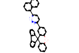 c1ccc2c(c1)Oc1ccc(-c3ccc(-c4cccc5ccccc45)nn3)cc1C21c2ccccc2-c2ccccc21